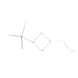 FC1(F)C[C@]12C[C@@H](CS)C2